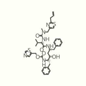 C=CCc1nc(CN(C)C(=O)N[C@H](C(=O)N[C@@H](Cc2ccccc2)C[C@H](O)[C@H](Cc2ccccc2)NC(=O)OCc2cncs2)C(C)C)cs1